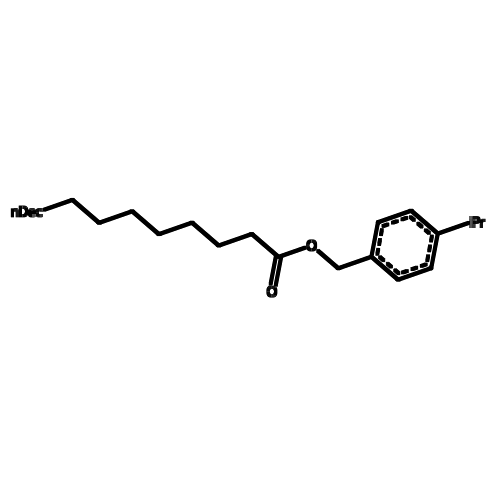 CCCCCCCCCCCCCCCCCC(=O)OCc1ccc(C(C)C)cc1